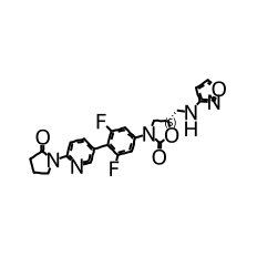 O=C1O[C@@H](CNc2ccon2)CN1c1cc(F)c(-c2ccc(N3CCCC3=O)nc2)c(F)c1